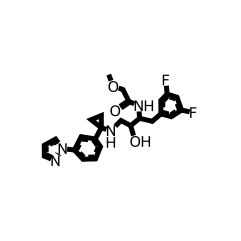 COCC(=O)NC(Cc1cc(F)cc(F)c1)C(O)CNC1(c2cccc(-n3cccn3)c2)CC1